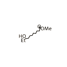 CCC(O)CCCCCCCC(=O)OC